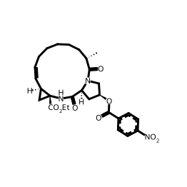 CCOC(=O)[C@@]12C[C@H]1/C=C\CCCCC[C@H](C)C(=O)N1C[C@@H](OC(=O)c3ccc([N+](=O)[O-])cc3)C[C@H]1C(=O)N2